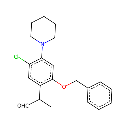 CC(C=O)c1cc(Cl)c(N2CCCCC2)cc1OCc1ccccc1